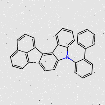 c1ccc(-c2ccccc2-n2c3ccccc3c3c4c(ccc32)-c2cccc3cccc-4c23)cc1